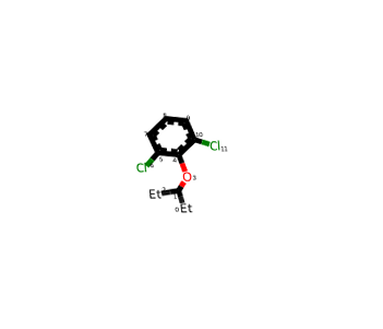 CCC(CC)Oc1c(Cl)cccc1Cl